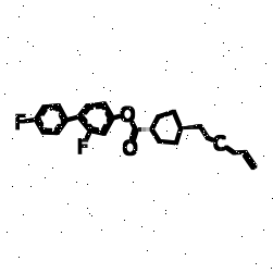 C=CCCCC[C@H]1CC[C@H](C(=O)Oc2ccc(-c3ccc(F)cc3)c(F)c2)CC1